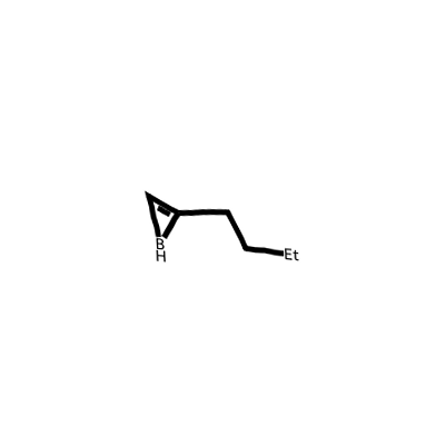 CCCCC1=CB1